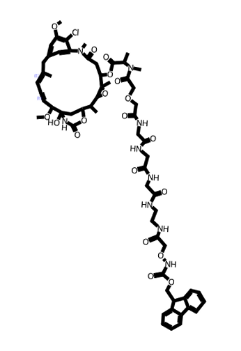 COc1cc2cc(c1Cl)N(C)C(=O)CC(OC(=O)C(C)N(C)C(=O)COCC(=O)NCC(=O)NCC(=O)NCC(=O)NCCNC(=O)CONC(=O)OCC1c3ccccc3-c3ccccc31)C1(C)OC1C(C)C1CC(O)(NC(=O)O1)C(OC)/C=C/C=C(\C)C2